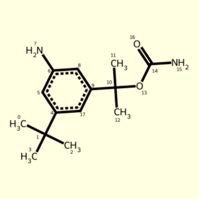 CC(C)(C)c1cc(N)cc(C(C)(C)OC(N)=O)c1